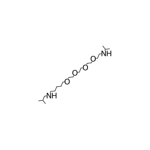 CC(C)CNCCCCCOCCOCCOCCOCCNC(C)C